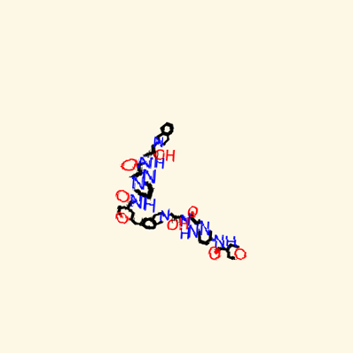 O=C(NC[C@@H](O)CN1CCc2cc(CC3CC(C(=O)Nc4ccc5nc(C(=O)NC[C@@H](O)CN6CCc7ccccc7C6)cn5c4)CCO3)ccc2C1)c1cn2c(n1)CCC(NC(=O)C1CCOCC1)C2